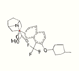 CC1CCC(Oc2ccc3ccc(C(=O)N4C5CCC4CC(C(=O)O)C5)cc3c2C(F)(F)F)CC1